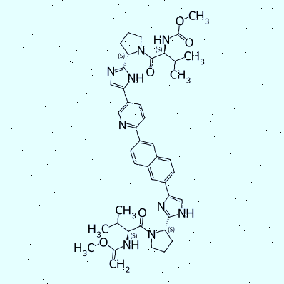 C=C(N[C@H](C(=O)N1CCC[C@H]1c1nc(-c2ccc3cc(-c4ccc(-c5cnc([C@@H]6CCCN6C(=O)[C@@H](NC(=O)OC)C(C)C)[nH]5)cn4)ccc3c2)c[nH]1)C(C)C)OC